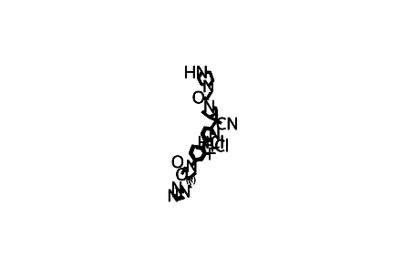 Cl.Cl.N#CC1(c2ccc(-c3ccc(N4C[C@H](Cn5ccnn5)OC4=O)cc3F)cn2)C2CN(C(=O)CN3CCNCC3)CC21